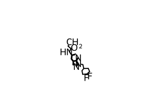 C=CC(=O)Nc1cnc2c(cnn2CC2CCC(F)(F)CC2)c1